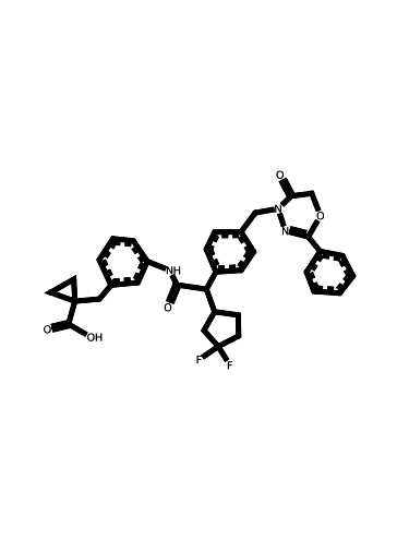 O=C(Nc1cccc(CC2(C(=O)O)CC2)c1)C(c1ccc(CN2N=C(c3ccccc3)OCC2=O)cc1)C1CCC(F)(F)C1